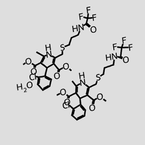 COC(=O)C1=C(C)NC(CSCCCNC(=O)C(F)(F)F)=C(C(=O)OC)C1c1ccccc1Cl.COC(=O)C1=C(C)NC(CSCCCNC(=O)C(F)(F)F)=C(C(=O)OC)C1c1ccccc1Cl.O